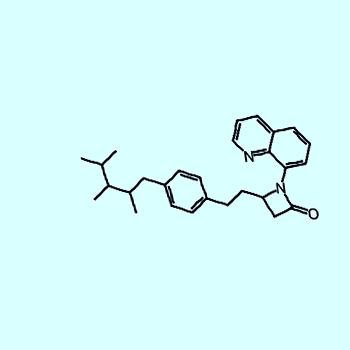 CC(C)C(C)C(C)Cc1ccc(CCC2CC(=O)N2c2cccc3cccnc23)cc1